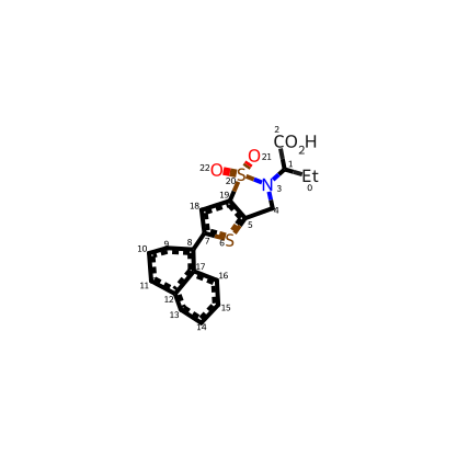 CCC(C(=O)O)N1Cc2sc(-c3cccc4ccccc34)cc2S1(=O)=O